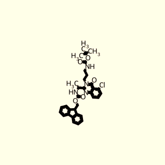 C[C@H](NC(=O)OCC1c2ccccc2-c2ccccc21)c1nc2cccc(Cl)c2c(=O)n1CCCNC(=O)OC(C)(C)C